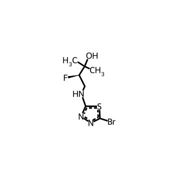 CC(C)(O)[C@H](F)CNc1nnc(Br)s1